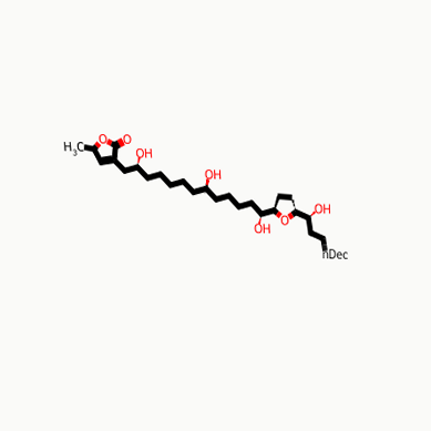 CCCCCCCCCCCC[C@@H](O)[C@H]1CC[C@H]([C@H](O)CCCC[C@H](O)CCCCC[C@@H](O)CC2=CC(C)OC2=O)O1